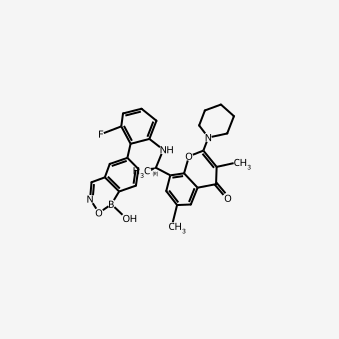 Cc1cc([C@@H](C)Nc2cccc(F)c2-c2ccc3c(c2)C=NOB3O)c2oc(N3CCCCC3)c(C)c(=O)c2c1